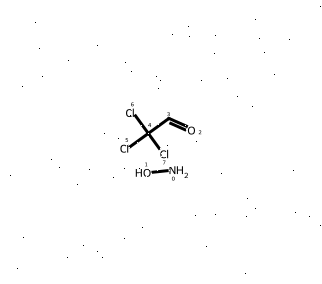 NO.O=CC(Cl)(Cl)Cl